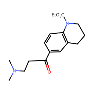 CCOC(=O)N1CCCc2cc(C(=O)CCN(C)C)ccc21